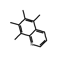 Cc1c(C)c(C)c2ncccc2c1C